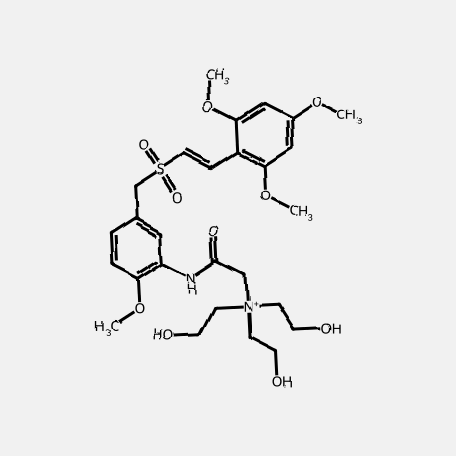 COc1cc(OC)c(/C=C/S(=O)(=O)Cc2ccc(OC)c(NC(=O)C[N+](CCO)(CCO)CCO)c2)c(OC)c1